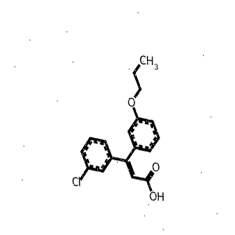 CCCOc1cccc(/C(=C\C(=O)O)c2cccc(Cl)c2)c1